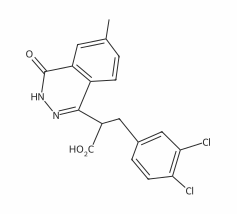 Cc1ccc2c(C(Cc3ccc(Cl)c(Cl)c3)C(=O)O)n[nH]c(=O)c2c1